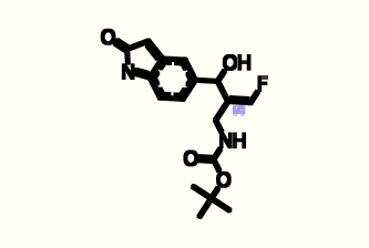 CC(C)(C)OC(=O)NC/C(=C/F)C(O)c1ccc2c(c1)=CC(=O)N=2